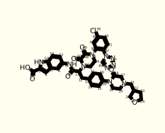 O=C(O)c1cc2cc(NC(=O)C(Cc3ccc(N4CCN(CC5CCOC5)CC4=O)cc3)N3CCN(c4cc(Cl)ccc4-n4cnnn4)C(=O)C3=O)ccc2[nH]1